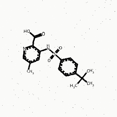 Cc1cnc(C(=O)O)c(NS(=O)(=O)c2ccc(C(C)(C)C)cc2)c1